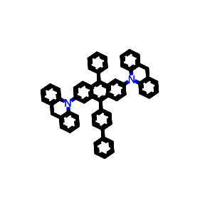 c1ccc(-c2ccc(-c3c4ccc(N5c6ccccc6Cc6ccccc65)cc4c(-c4ccccc4)c4ccc(N5c6ccccc6Cc6ccccc65)cc34)cc2)cc1